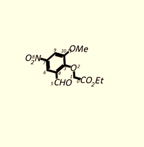 CCOC(=O)COc1c(C=O)cc([N+](=O)[O-])cc1OC